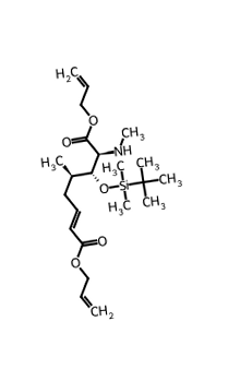 C=CCOC(=O)/C=C/C[C@@H](C)[C@@H](O[Si](C)(C)C(C)(C)C)[C@H](NC)C(=O)OCC=C